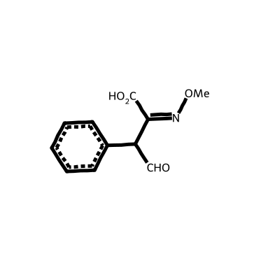 CO/N=C(\C(=O)O)C(C=O)c1ccccc1